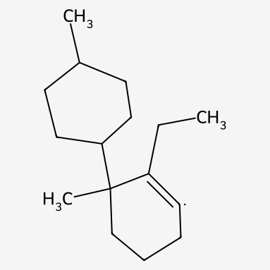 CCC1=[C]CCCC1(C)C1CCC(C)CC1